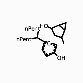 CC1CC(O)C2CC12.CCCCCC(CCCCC)c1ccc(O)cc1